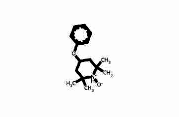 CC1(C)CC(Oc2ccccc2)CC(C)(C)[NH+]1[O-]